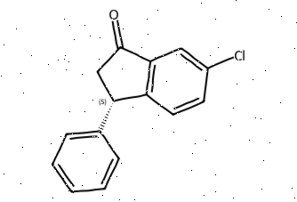 O=C1C[C@@H](c2ccccc2)c2ccc(Cl)cc21